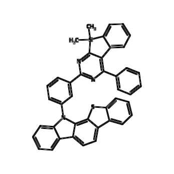 C[Si]1(C)c2ccccc2-c2c(-c3ccccc3)nc(-c3cccc(-n4c5ccccc5c5ccc6c7ccccc7sc6c54)c3)nc21